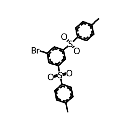 Cc1ccc(S(=O)(=O)c2cc(Br)cc(S(=O)(=O)c3ccc(C)cc3)c2)cc1